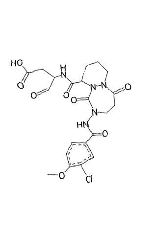 COc1ccc(C(=O)NN2CCC(=O)N3CCCC(C(=O)NC(C=O)CC(=O)O)N3C2=O)cc1Cl